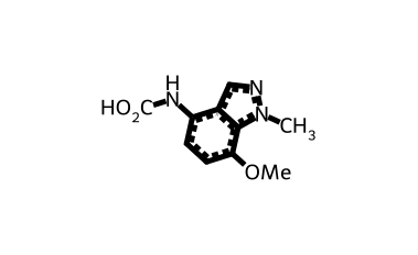 COc1ccc(NC(=O)O)c2cnn(C)c12